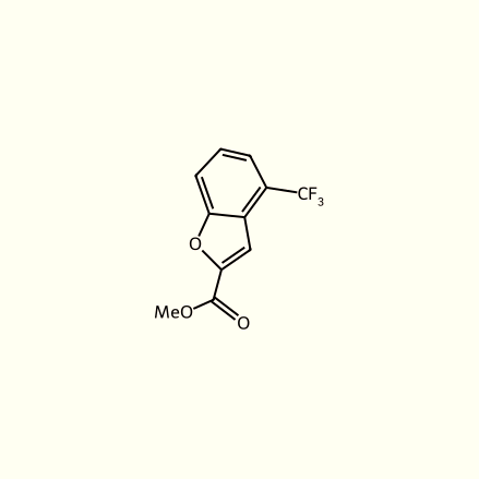 COC(=O)c1cc2c(C(F)(F)F)cccc2o1